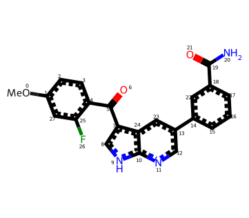 COc1ccc(C(=O)c2c[nH]c3ncc(-c4cccc(C(N)=O)c4)cc23)c(F)c1